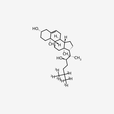 [2H]C([2H])([2H])C([2H])(CC[C@@H](O)[C@@H](C)[C@H]1CC[C@H]2[C@@H]3CC=C4C[C@@H](O)CC[C@]4(C)[C@H]3CC[C@]12C)C([2H])([2H])[2H]